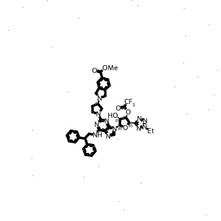 CCn1nnc([C@H]2O[C@@H](n3cnc4c(NCC(c5ccccc5)c5ccccc5)nc(N5CC[C@@H](N6Cc7ccc(C(=O)OC)cc7C6)C5)nc43)[C@H](O)[C@@H]2OC(=O)C(F)(F)F)n1